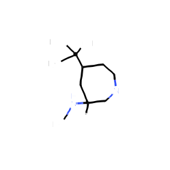 CNC1(C)CNCCC(C(C)(C)C)C1